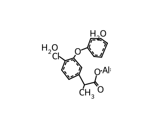 CC(C(=O)[O][Al])c1ccc(Cl)c(Oc2ccccc2)c1.O.O